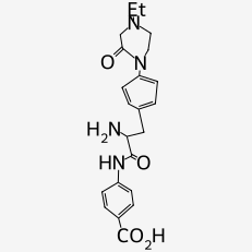 CCN1CCN(c2ccc(CC(N)C(=O)Nc3ccc(C(=O)O)cc3)cc2)C(=O)C1